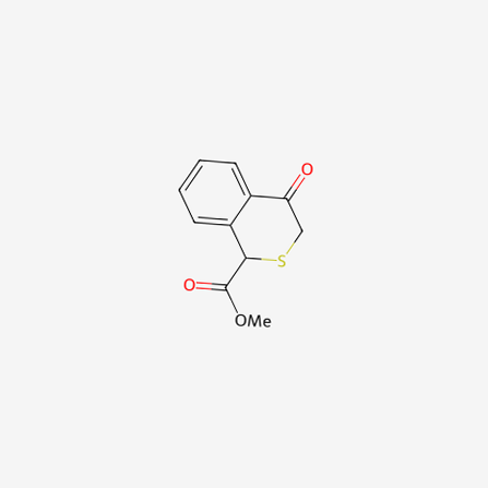 COC(=O)C1SCC(=O)c2ccccc21